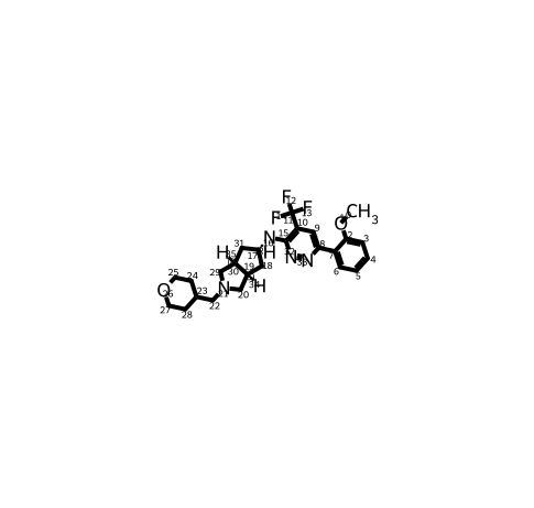 COc1ccccc1-c1cc(C(F)(F)F)c(N[C@@H]2C[C@@H]3CN(CC4CCOCC4)C[C@@H]3C2)nn1